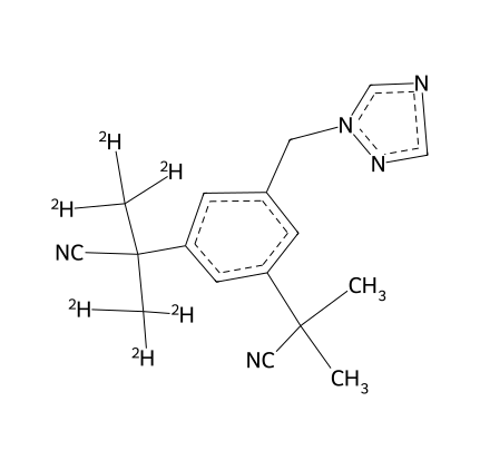 [2H]C([2H])([2H])C(C#N)(c1cc(Cn2cncn2)cc(C(C)(C)C#N)c1)C([2H])([2H])[2H]